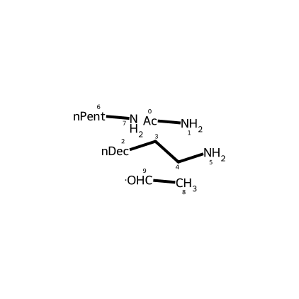 CC(N)=O.CCCCCCCCCCCCN.CCCCCN.C[C]=O